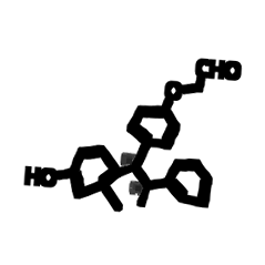 Cc1cc(O)ccc1[C@@H](c1ccc(OCC=O)cc1)[C@H](C)c1ccccc1